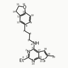 CCc1nc(NCCCc2ccc3c(c2)CCO3)c2cc(C)sc2n1